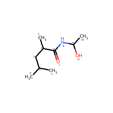 CC(C)CC(C)C(=O)NC(C)O